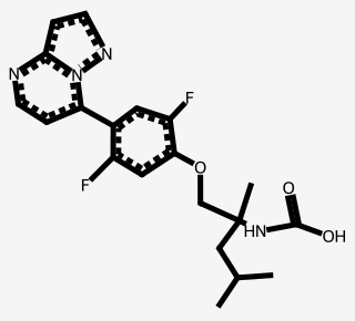 CC(C)CC(C)(COc1cc(F)c(-c2ccnc3ccnn23)cc1F)NC(=O)O